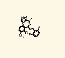 C[C@@H]1N=C(CCc2c(F)cccc2F)c2c(ccc(C(F)(F)F)c2Cl)-n2cnnc21